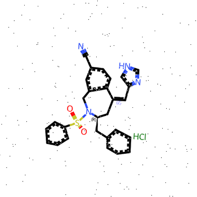 Cl.N#Cc1ccc2c(c1)CN(S(=O)(=O)c1ccccc1)[C@H](Cc1ccccc1)C/C2=C/c1c[nH]cn1